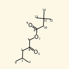 CC(C)CC(=O)COC(=O)CC(C)(C)C